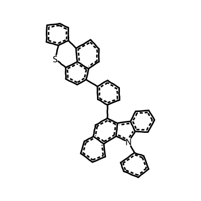 c1ccc(-n2c3ccccc3c3c(-c4cccc(-c5ccc6c7c(cccc57)-c5ccccc5S6)c4)cc4ccccc4c32)cc1